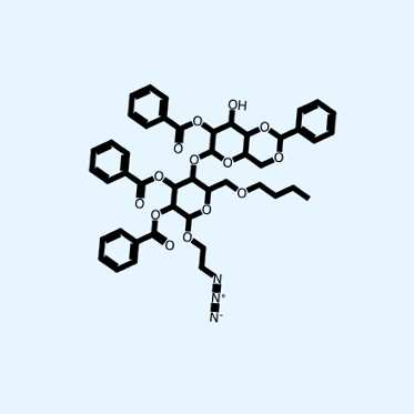 CCCCOCC1OC(OCCN=[N+]=[N-])C(OC(=O)c2ccccc2)C(OC(=O)c2ccccc2)C1OC1OC2COC(c3ccccc3)OC2C(O)C1OC(=O)c1ccccc1